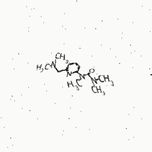 CN(C)Cc1cccc(N(C)C(=O)N(C)C)n1